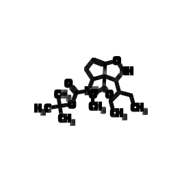 CCC(CC)C1NOC2=CCC(NC(=O)OC(C)(C)C)C21C(=O)OC